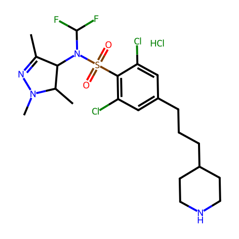 CC1=NN(C)C(C)C1N(C(F)F)S(=O)(=O)c1c(Cl)cc(CCCC2CCNCC2)cc1Cl.Cl